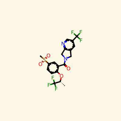 C[C@@H](Oc1ccc(S(C)(=O)=O)cc1C(=O)N1Cc2cc(C(F)(F)F)cnc2C1)C(F)(F)F